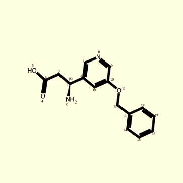 N[C@@H](CC(=O)O)c1cncc(OCc2ccccc2)c1